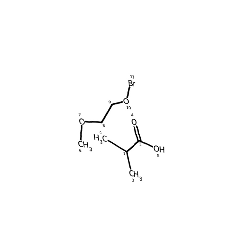 CC(C)C(=O)O.COCCOBr